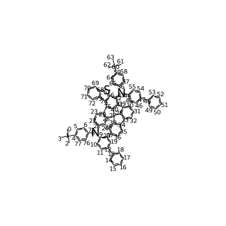 CC(C)(C)c1ccc(N(c2ccc(-c3ccccc3)cc2)c2ccc3c(c2)C2(c4ccccc4-c4ccccc42)c2cc(N(c4ccc(-c5ccccc5)cc4)c4ccc(C(C)(C)C)cc4)c4sc5ccccc5c4c2-3)cc1